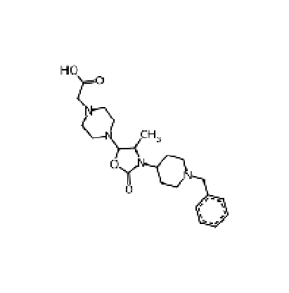 CC1C(N2CCN(CC(=O)O)CC2)OC(=O)N1C1CCN(Cc2ccccc2)CC1